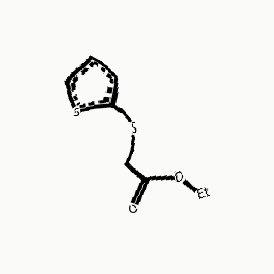 CCOC(=O)CSc1cccs1